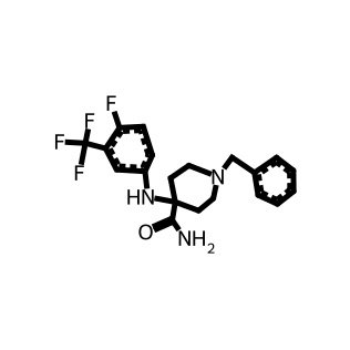 NC(=O)C1(Nc2ccc(F)c(C(F)(F)F)c2)CCN(Cc2ccccc2)CC1